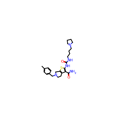 Cc1ccc(CN2CCc3c(sc(NC(=O)NCCCCN4CCCC4)c3C(N)=O)C2)cc1